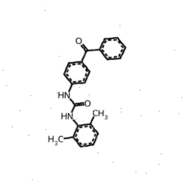 Cc1cccc(C)c1NC(=O)Nc1ccc(C(=O)c2ccccc2)cc1